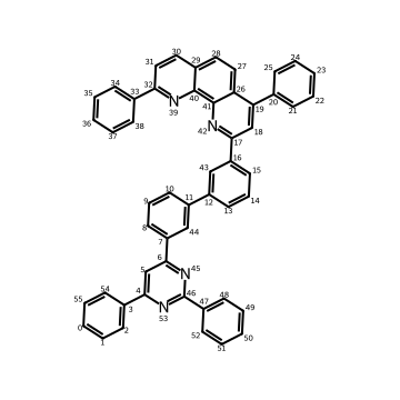 c1ccc(-c2cc(-c3cccc(-c4cccc(-c5cc(-c6ccccc6)c6ccc7ccc(-c8ccccc8)nc7c6n5)c4)c3)nc(-c3ccccc3)n2)cc1